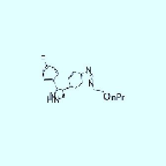 CCCOCCn1cnc2ccc(-c3c[nH]nc3-c3ccc(F)cc3)cc21